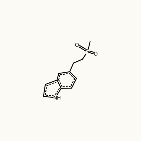 CS(=O)(=O)CCc1ccc2[nH]ccc2c1